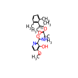 COc1ccnc(C(=O)N[C@@H](C)C(=O)O[C@@H](C)[C@@H](C)c2c(C)cccc2C)c1O